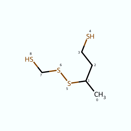 CC(CCS)SSCS